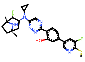 CSc1ncc(-c2ccc(-c3ncc(N(C4CC4)[C@H]4C[C@]5(C)CC[C@@](C)(N5)[C@H]4F)nn3)c(O)c2)cc1F